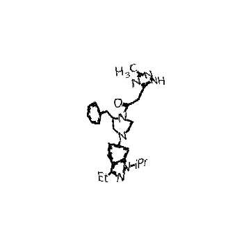 CCc1nn(C(C)C)c2cc(N3CCN(C(=O)Cc4nc(C)n[nH]4)C(Cc4ccccc4)C3)ccc12